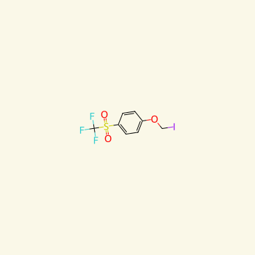 O=S(=O)(c1ccc(OCI)cc1)C(F)(F)F